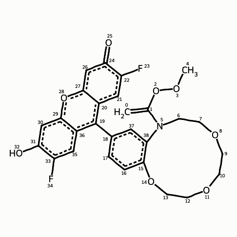 C=C(OOC)N1CCOCCOCCOc2ccc(-c3c4cc(F)c(=O)cc-4oc4cc(O)c(F)cc34)cc21